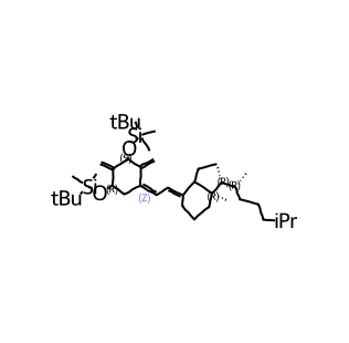 C=C1/C(=C\C=C2CCC[C@@]3(C)C2CC[C@@H]3[C@H](C)CCCC(C)C)C[C@@H](O[Si](C)(C)C(C)(C)C)C(=C)[C@H]1O[Si](C)(C)C(C)(C)C